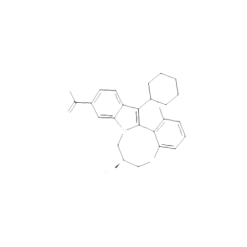 Cc1cccc2c1-c1c(C3CCCCC3)c3ccc(C(=O)O)cc3n1C[C@H](O)CO2